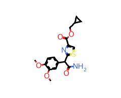 COc1ccc(C(C(N)=O)c2nc(C(=O)OCC3CC3)cs2)cc1OC